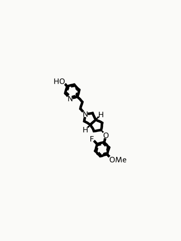 COc1ccc(F)c(O[C@H]2C[C@@H]3CN(CCc4ccc(O)cn4)C[C@@H]3C2)c1